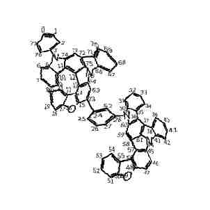 c1ccc(-n2c3ccccc3c3c4c5c6c(oc7ccccc76)c(-c6cccc(-n7c8ccccc8c8c9c%10ccccc%10n%10c%11ccc%12oc%13ccccc%13c%12c%11c(cc87)c9%10)c6)cc5n5c6ccccc6c(cc32)c45)cc1